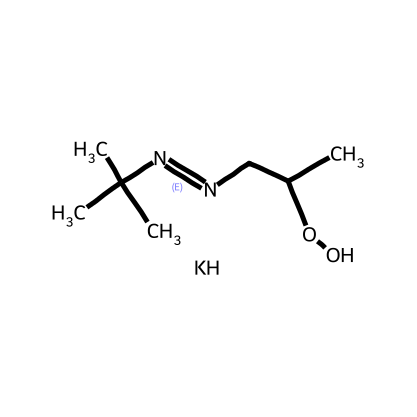 CC(C/N=N/C(C)(C)C)OO.[KH]